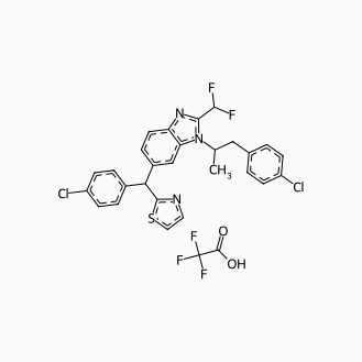 CC(Cc1ccc(Cl)cc1)n1c(C(F)F)nc2ccc(C(c3ccc(Cl)cc3)c3nccs3)cc21.O=C(O)C(F)(F)F